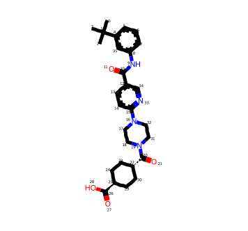 CC(C)(C)c1cccc(NC(=O)c2ccc(N3CCN(C(=O)[C@H]4CC[C@H](C(=O)O)CC4)CC3)nc2)c1